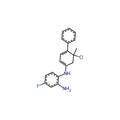 CC1(Cl)CC(Nc2ccc(F)cc2N)=CC=C1c1ccccc1